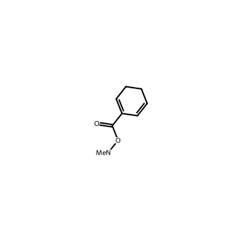 CNOC(=O)C1=CCCC=C1